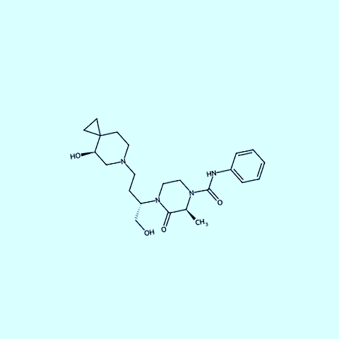 C[C@H]1C(=O)N([C@H](CO)CCN2CCC3(CC3)[C@H](O)C2)CCN1C(=O)Nc1ccccc1